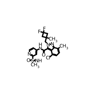 Cc1ccc(Cl)c2c(C(=O)Nc3ccnc(S(C)(=N)=O)c3)n(CC3(C)CC(F)(F)C3)nc12